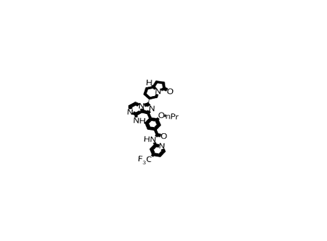 CCCOc1cc(C(=O)Nc2cc(C(F)(F)F)ccn2)ccc1-c1nc([C@@H]2CC[C@H]3CCC(=O)N3C2)n2ccnc(N)c12